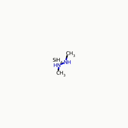 CNNC.[SiH4]